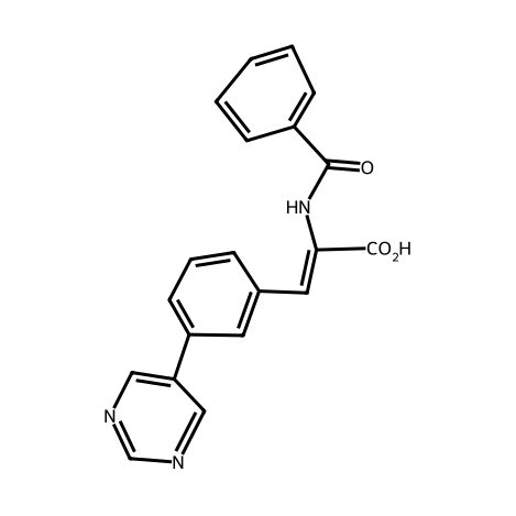 O=C(O)/C(=C/c1cccc(-c2cncnc2)c1)NC(=O)c1ccccc1